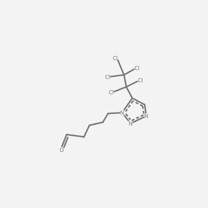 O=CCCCCn1nncc1C(Cl)(Cl)C(Cl)(Cl)Cl